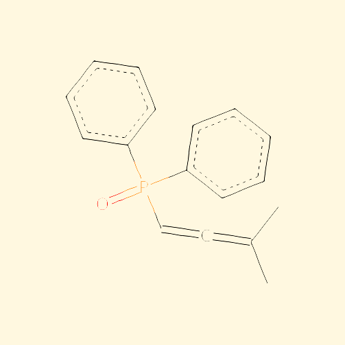 CC(C)=C=CP(=O)(c1ccccc1)c1ccccc1